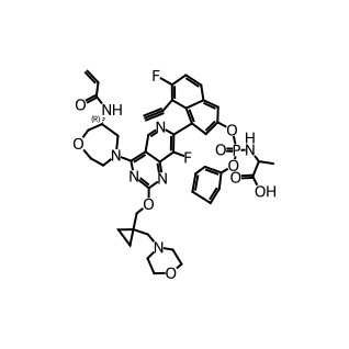 C#Cc1c(F)ccc2cc(OP(=O)(NC(C)C(=O)O)Oc3ccccc3)cc(-c3ncc4c(N5CCOC[C@H](NC(=O)C=C)C5)nc(OCC5(CN6CCOCC6)CC5)nc4c3F)c12